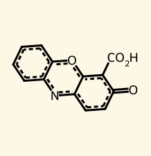 O=C(O)c1c2oc3ccccc3nc-2ccc1=O